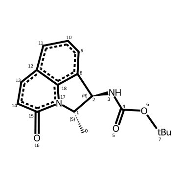 C[C@H]1[C@H](NC(=O)OC(C)(C)C)c2cccc3ccc(=O)n1c23